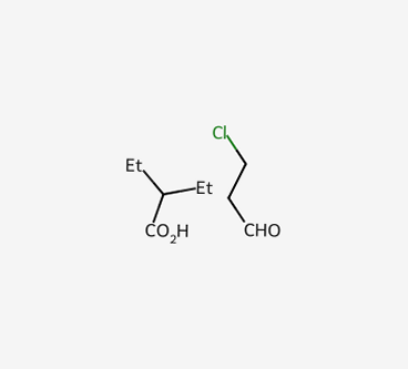 CCC(CC)C(=O)O.O=CCCCl